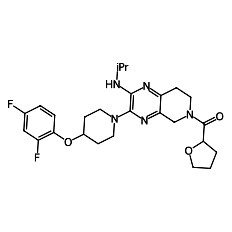 CC(C)Nc1nc2c(nc1N1CCC(Oc3ccc(F)cc3F)CC1)CN(C(=O)C1CCCO1)CC2